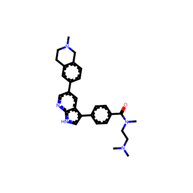 CN(C)CCN(C)C(=O)c1ccc(-c2c[nH]c3ncc(-c4ccc5c(c4)CCN(C)C5)cc23)cc1